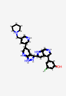 Oc1cc(F)cc(-c2cncc3[nH]c(-c4n[nH]c5ncc(-c6cncc(CN7CCCCC7)c6)cc45)cc23)c1